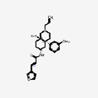 C=CCN1CC[C@@]2(c3cccc(OC)c3)C[C@H](NC(=O)/C=C/c3ccoc3)CC[C@]2(OC(C)=O)C1